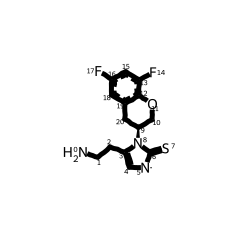 NCCC1=C[N]C(=S)N1[C@@H]1COc2c(F)cc(F)cc2C1